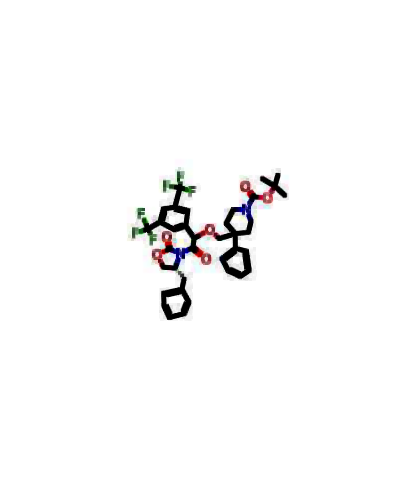 CC(C)(C)OC(=O)N1CCC(COC(C(=O)N2C(=O)OC[C@H]2Cc2ccccc2)c2cc(C(F)(F)F)cc(C(F)(F)F)c2)(c2ccccc2)CC1